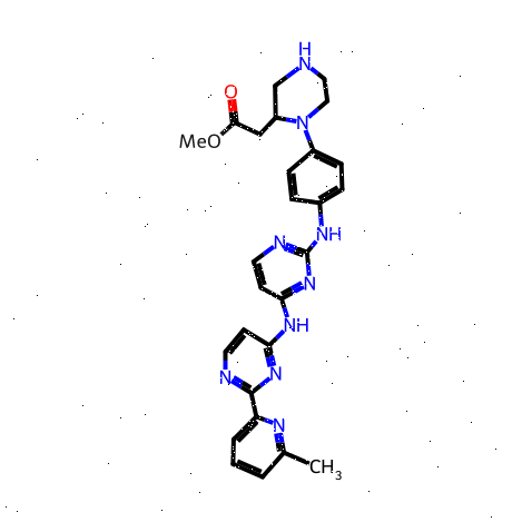 COC(=O)CC1CNCCN1c1ccc(Nc2nccc(Nc3ccnc(-c4cccc(C)n4)n3)n2)cc1